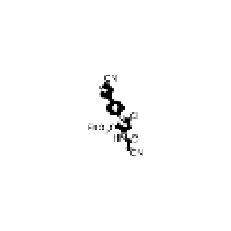 CCOC(=O)c1c(NC(=O)CC#N)cc(Cl)n1-c1ccc(-c2csc(C#N)c2)cc1